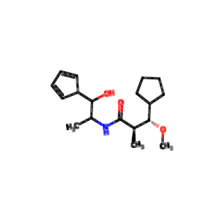 CO[C@@H](C1CCCC1)[C@@H](C)C(=O)NC(C)C(O)C1C=CC=C1